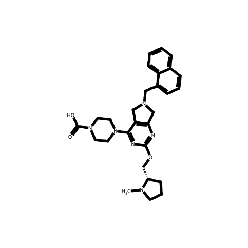 CN1CCC[C@H]1COc1nc2c(c(N3CCN(C(=O)O)CC3)n1)CN(Cc1cccc3ccccc13)C2